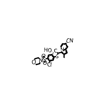 Cc1cc2cc(C#N)ccn2c1C(Sc1ccc(S(=O)(=O)N2CCOCC2)c(Cl)c1)C(=O)O